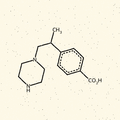 CC(CN1CCNCC1)c1ccc(C(=O)O)cc1